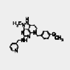 COc1ccc(CN2CCC3NN(C)c4nc(NCc5cccnc5)nc2c43)cc1